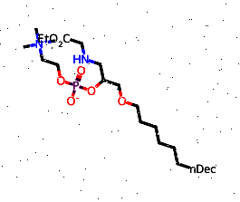 CCCCCCCCCCCCCCCCOCC(CNCC(=O)OCC)OP(=O)([O-])OCC[N+](C)(C)C